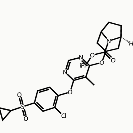 Cc1c(Oc2ccc(S(=O)(=O)C3CC3)cc2Cl)ncnc1OC1CC2CC[C@@H](C1)N2C(=O)OC(C)C